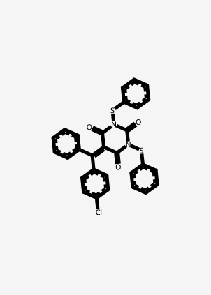 O=C1C(=C(c2ccccc2)c2ccc(Cl)cc2)C(=O)N(Sc2ccccc2)C(=O)N1Sc1ccccc1